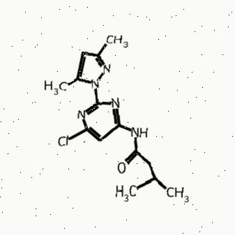 Cc1cc(C)n(-c2nc(Cl)cc(NC(=O)CC(C)C)n2)n1